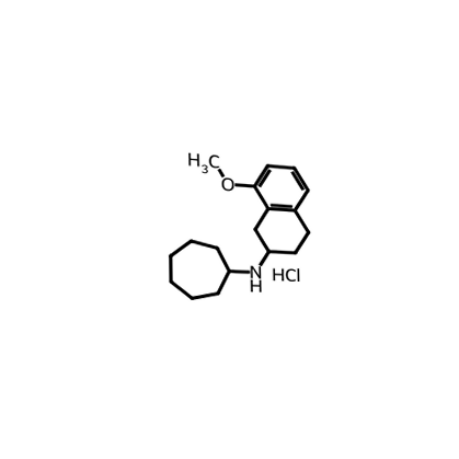 COc1cccc2c1CC(NC1CCCCCC1)CC2.Cl